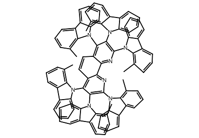 Cc1cccc2c3ccccc3n(-c3nc4c(ccc5c(-n6c7ccccc7c7cccc(C)c76)c(-n6c7ccccc7c7cccc(C)c76)c(-n6c7ccccc7c7cccc(C)c76)nc54)c(-n4c5ccccc5c5cccc(C)c54)c3-n3c4ccccc4c4cccc(C)c43)c12